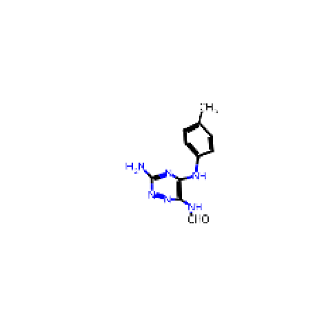 Cc1ccc(Nc2nc(N)nnc2NC=O)cc1